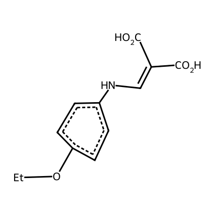 CCOc1ccc(NC=C(C(=O)O)C(=O)O)cc1